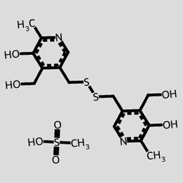 CS(=O)(=O)O.Cc1ncc(CSSCc2cnc(C)c(O)c2CO)c(CO)c1O